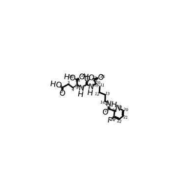 O=C(O)CC[C@H](NC(=O)N[C@@H](CCCCNC(=O)c1ncccc1F)C(=O)O)C(=O)O